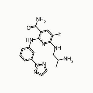 CC(N)CNc1nc(Nc2cccc(-n3nccn3)c2)c(C(N)=O)cc1F